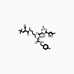 COC[C@H](NC(=O)c1cc(C)on1)C(=O)N[C@@H](CCCCN(C)C(=O)C(C#N)=CC(C)(C)C)C(=O)NCc1ccc(C)cc1